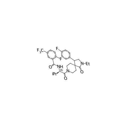 CCN1CC(c2ccc(F)cc2)C2(CCN(C(=O)[C@H](NC(=O)c3cc(C(F)(F)F)ccc3F)C(C)C)CC2)C1=O